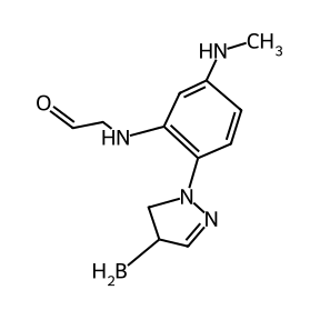 BC1C=NN(c2ccc(NC)cc2NCC=O)C1